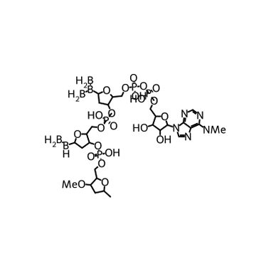 BBC1CC(OP(=O)(O)OCC2OC(C)CC2OC)C(COP(=O)(O)OC2CC(B(B)B)OC2COP(=O)(O)OP(=O)(O)OCC2OC(n3cnc4c(NC)ncnc43)C(O)C2O)O1